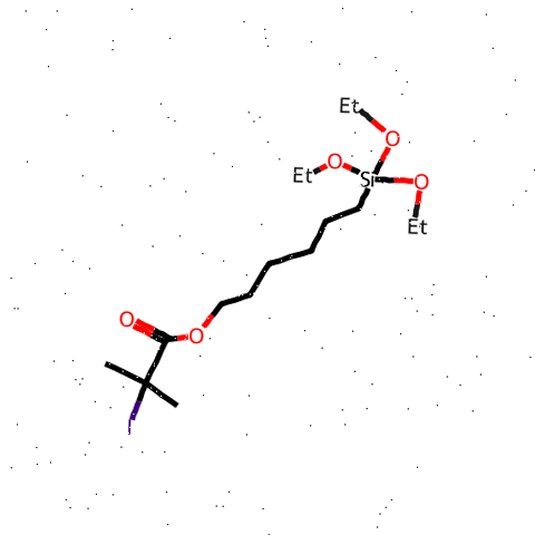 CCO[Si](CCCCCCOC(=O)C(C)(C)I)(OCC)OCC